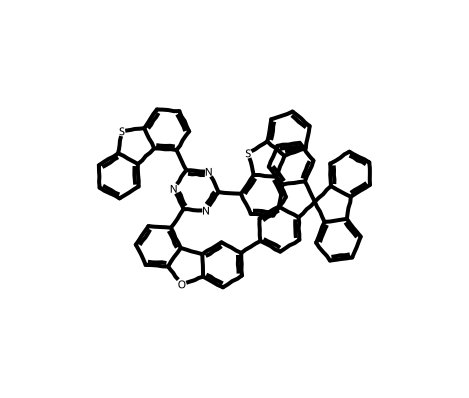 c1ccc2c(c1)-c1ccccc1C21c2ccccc2-c2cc(-c3ccc4oc5cccc(-c6nc(-c7cccc8c7sc7ccccc78)nc(-c7cccc8sc9ccccc9c78)n6)c5c4c3)ccc21